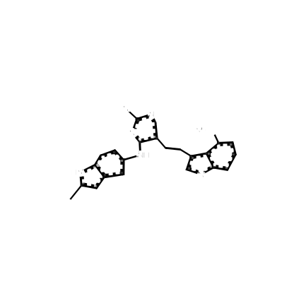 COc1cccc2[nH]cc(CCc3cnc(N)nc3Nc3ccc4[nH]c(C)cc4c3)c12